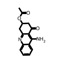 CC(=O)OC1CC(=O)c2c(nc3ccccc3c2N)C1